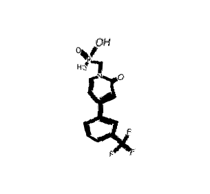 O=c1cc(-c2cccc(C(F)(F)F)c2)ccn1CP(=O)(O)O